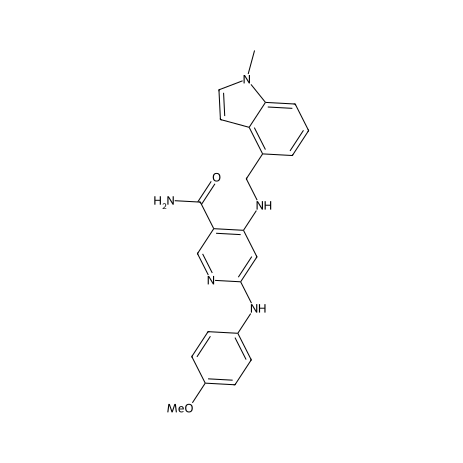 COc1ccc(Nc2cc(NCc3cccc4c3ccn4C)c(C(N)=O)cn2)cc1